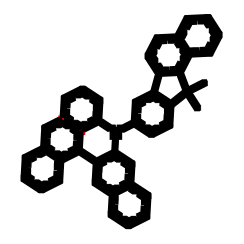 CC1(C)c2ccc(N(c3ccccc3)c3cc4ccccc4cc3-c3cccc4ccccc34)cc2-c2ccc3ccccc3c21